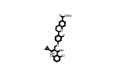 COC(=O)c1ccc2c(c1)CCC(c1ccc(OC/C(C(=N)c3c(Cl)cccc3Cl)=C(/O)C3CC3)cc1F)O2